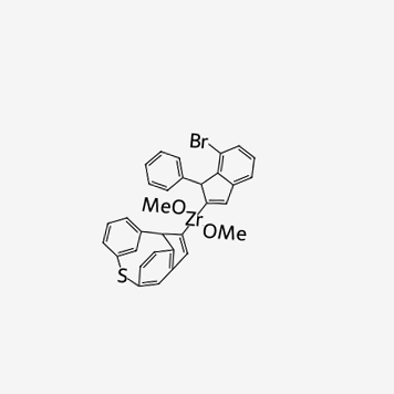 C[O][Zr]([O]C)([C]1=Cc2cc3ccc2C1c1cccc(c1)S3)[C]1=Cc2cccc(Br)c2C1c1ccccc1